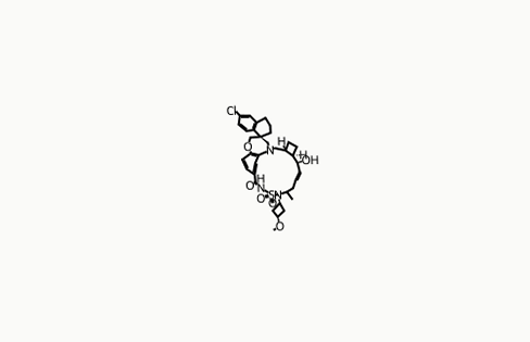 CO[C@H]1C[C@@H](N2C(C)C/C=C/[C@H](O)[C@@H]3CC[C@H]3CN3C[C@@]4(CCCc5cc(Cl)ccc54)COc4ccc(cc43)C(=O)NS2(=O)=O)C1